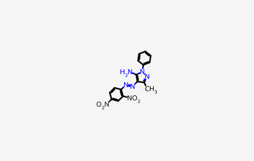 Cc1nn(-c2ccccc2)c(N)c1N=Nc1ccc([N+](=O)[O-])cc1[N+](=O)[O-]